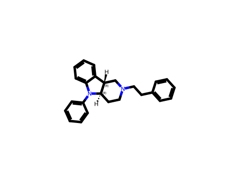 c1ccc(CCN2CC[C@@H]3[C@@H](C2)c2ccccc2N3c2ccccc2)cc1